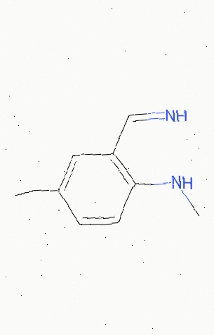 CNc1ccc(C)cc1C=N